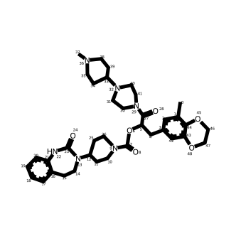 Cc1cc(CC(OC(=O)N2CCC(N3CCc4ccccc4NC3=O)CC2)C(=O)N2CCN(C3CCN(C)CC3)CC2)cc2c1OCCO2